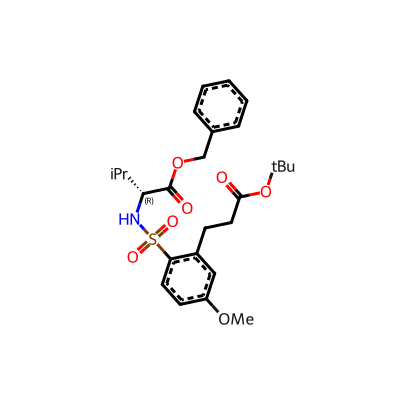 COc1ccc(S(=O)(=O)N[C@@H](C(=O)OCc2ccccc2)C(C)C)c(CCC(=O)OC(C)(C)C)c1